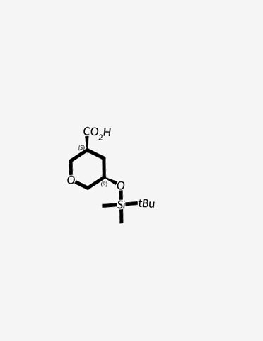 CC(C)(C)[Si](C)(C)O[C@H]1COC[C@@H](C(=O)O)C1